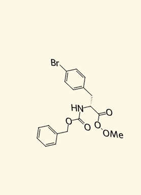 COOC(=O)[C@@H](Cc1ccc(Br)cc1)NC(=O)OCc1ccccc1